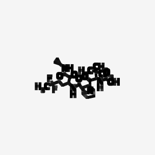 CC(F)(F)CCC(NC(=O)C1C2CCC(CC2)N1C(=O)C(NC(=O)O)C(C)(C)C)C(=O)C(=O)NC1CC1